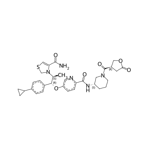 C[C@@H]([C@H](Oc1ccc(C(=O)N[C@H]2CCCN(C(=O)[C@H]3COC(=O)C3)C2)nc1)c1ccc(C2CC2)cc1)N1CSC=C1C(N)=O